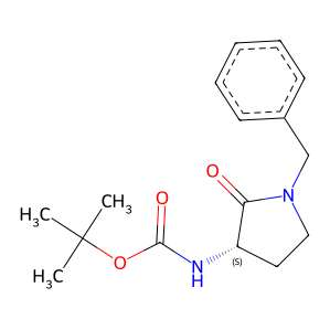 CC(C)(C)OC(=O)N[C@H]1CCN(Cc2ccccc2)C1=O